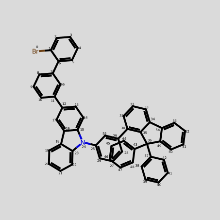 Brc1ccccc1-c1cccc(-c2ccc3c(c2)c2ccccc2n3-c2cccc(-c3cccc4c3C(c3ccccc3)(c3ccccc3)c3ccccc3-4)c2)c1